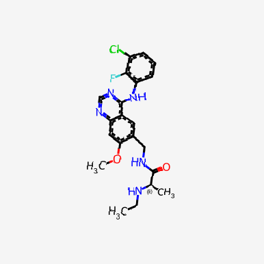 CCN[C@H](C)C(=O)NCc1cc2c(Nc3cccc(Cl)c3F)ncnc2cc1OC